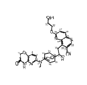 CN(c1ccc2c(n1)NC(=O)CO2)C12CCC(C(O)Cc3c(C#N)cnc4ccc(OCCO)nc34)(CC1)OC2